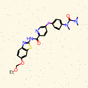 CCOCOc1ccc2nc(NC(=O)c3ccc([I+]c4ccc(N(C)C(=O)N(C)C)cc4)cn3)sc2c1